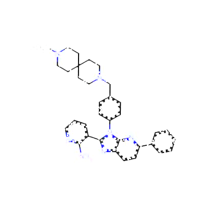 Nc1ncccc1-c1nc2ccc(-c3ccccc3)nc2n1-c1ccc(CN2CCC3(CC2)CCN(C(=O)O)CC3)cc1